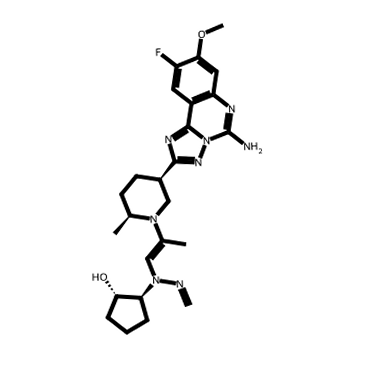 C=NN(/C=C(\C)N1C[C@H](c2nc3c4cc(F)c(OC)cc4nc(N)n3n2)CC[C@@H]1C)[C@H]1CCC[C@@H]1O